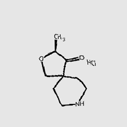 C[C@@H]1OCC2(CCNCC2)C1=O.Cl